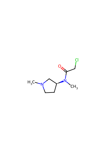 CN1CC[C@H](N(C)C(=O)CCl)C1